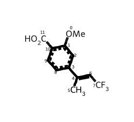 COc1cc(C(C)=CC(F)(F)F)ccc1C(=O)O